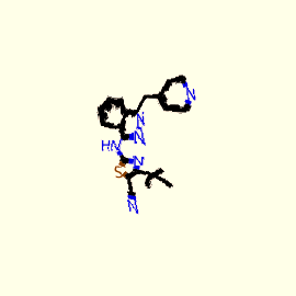 CC(C)(C)c1nc(Nc2nnc(Cc3ccncc3)c3ccccc23)sc1C#N